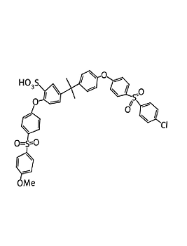 COc1ccc(S(=O)(=O)c2ccc(Oc3ccc(C(C)(C)c4ccc(Oc5ccc(S(=O)(=O)c6ccc(Cl)cc6)cc5)cc4)cc3S(=O)(=O)O)cc2)cc1